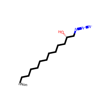 CCCCCCCCCCCCCCCCCCC[C@H](O)CN=[N+]=[N-]